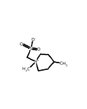 CC1CC[N+](C)(CS(=O)(=O)[O-])CC1